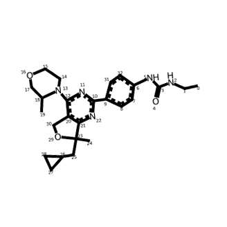 CCNC(=O)Nc1ccc(-c2nc(N3CCOCC3C)c3c(n2)C(C)(CC2CC2)OC3)cc1